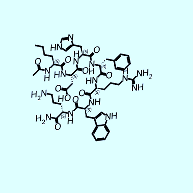 CCCC[C@H](NC(C)=O)C(=O)N[C@@H](CC(=O)O)C(=O)N[C@@H](Cc1c[nH]cn1)C(=O)N[C@H](Cc1ccccc1)C(=O)N[C@@H](CCCNC(=N)N)C(=O)N[C@@H](Cc1c[nH]c2ccccc12)C(=O)N[C@@H](CCCN)C(N)=O